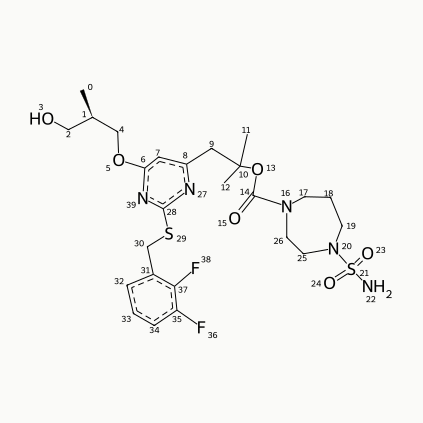 C[C@H](CO)COc1cc(CC(C)(C)OC(=O)N2CCCN(S(N)(=O)=O)CC2)nc(SCc2cccc(F)c2F)n1